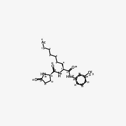 CC(=O)SCCCCC[C@H](NC(=O)[C@H]1CCC(=O)N1)C(=O)Nc1cccc(C(F)(F)F)c1